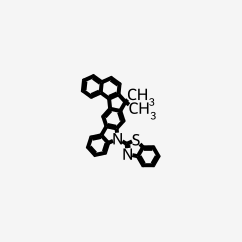 CC1(C)c2cc3c(cc2-c2c1ccc1ccccc21)c1ccccc1n3-c1nc2ccccc2s1